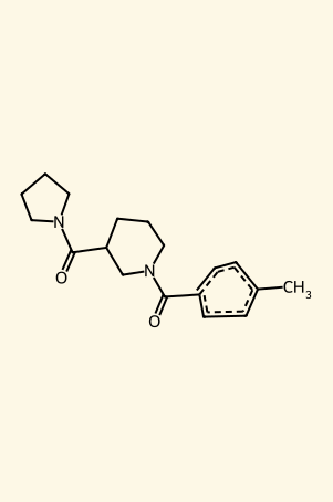 Cc1ccc(C(=O)N2CCCC(C(=O)N3CCCC3)C2)cc1